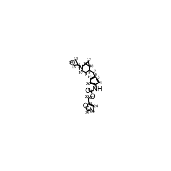 O=C(Nc1ccc(CC2CCN(C3COC3)C3CC23)cc1)OCc1cnco1